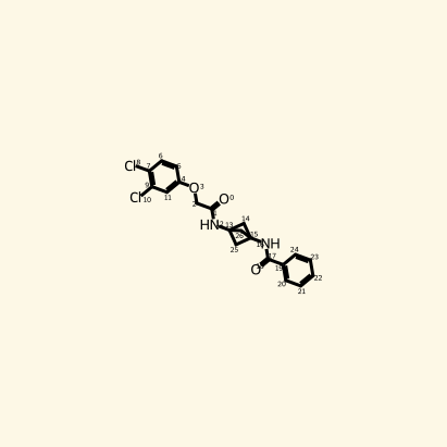 O=C(COc1ccc(Cl)c(Cl)c1)NC12CC(NC(=O)c3ccccc3)(C1)C2